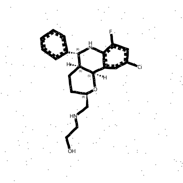 OCCNC[C@H]1CC[C@@H]2[C@H](O1)c1cc(Cl)cc(F)c1N[C@H]2c1ccccc1